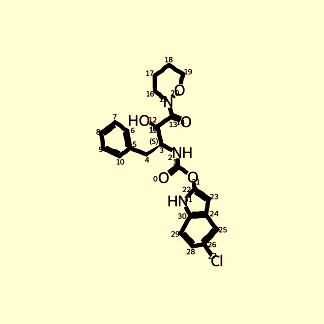 O=C(N[C@@H](Cc1ccccc1)[C@@H](O)C(=O)N1CCCCO1)Oc1cc2cc(Cl)ccc2[nH]1